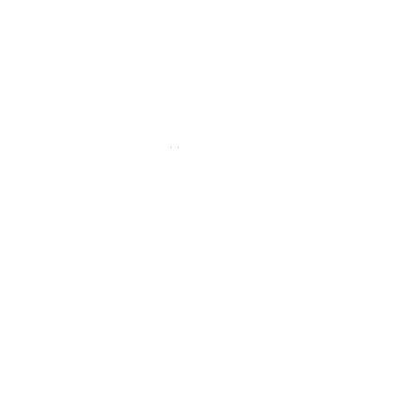 OC1CC2=CCCC2C1